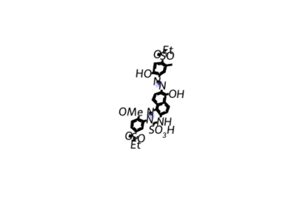 CCS(=O)(=O)c1ccc(OC)c(/N=N/c2c(NCS(=O)(=O)O)ccc3c(O)c(/N=N/c4cc(C)c(S(=O)(=O)CC)cc4O)ccc23)c1